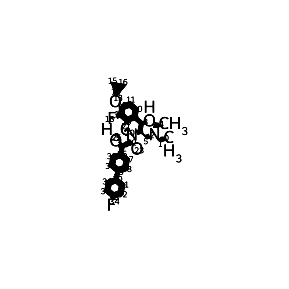 CCN(CC)C[C@H]([C@H](O)c1ccc(OC2CC2)c(F)c1)N(C)C(=O)C(=O)c1ccc(-c2ccc(F)cc2)cc1